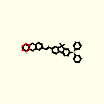 CC1(C)c2cc(/C=C/c3ccc4c(c3)C3C5=C(CCC=C5)C4c4ccccc43)ccc2-c2ccc(N(c3ccccc3)c3ccccc3)cc21